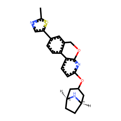 Cc1ncc(-c2ccc3c(c2)COc2nc(OC4C[C@H]5CC[C@@H](C4)N5)ccc2-3)s1